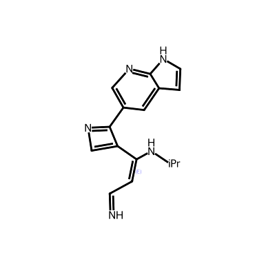 CC(C)N/C(=C/C=N)C1=CN=C1c1cnc2[nH]ccc2c1